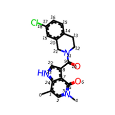 Cc1cn(C)c(=O)c2c(C(=O)N3CCc4ccc(Cl)cc4C3)c[nH]c12